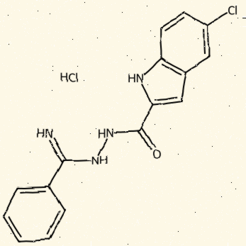 Cl.N=C(NNC(=O)c1cc2cc(Cl)ccc2[nH]1)c1ccccc1